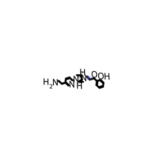 NCCc1ccc(N2C[C@@H]3C[C@H]2CN3/C=C/C(=O)c2ccccc2O)nc1